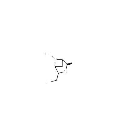 CN1C2CC1C(CC(C)(C)C)NC2=O